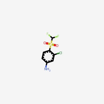 Nc1ccc(S(=O)(=O)C(F)F)c(Cl)c1